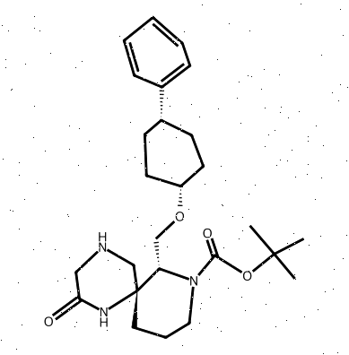 CC(C)(C)OC(=O)N1CCC[C@@]2(CNCC(=O)N2)[C@@H]1CO[C@H]1CC[C@@H](c2ccccc2)CC1